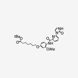 COc1cc(OCCCCCCC(=O)OC(C)(C)C)ccc1NC(=O)c1cccc(-n2cc[nH]c2=O)n1